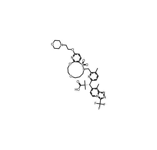 Cc1ccc([C@H](c2ccn3c(C(F)(F)F)nnc3c2C)C(C)(C)C(=O)O)nc1CN1CCCOCCOc2nc(OCCN3CCOCC3)ccc2S1(=O)=O